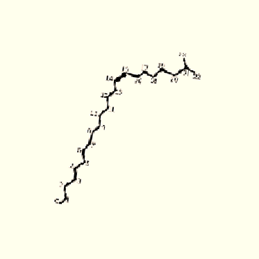 CCCCCCCCCCCCCC/C=C\CCCCCC(C)C